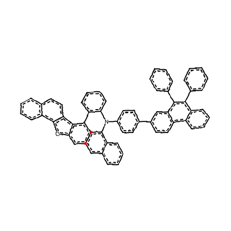 c1ccc(-c2c(-c3ccccc3)c3cc(-c4ccc(N(c5ccccc5-c5cccc6oc7c8ccccc8ccc7c56)c5cccc6ccccc56)cc4)ccc3c3ccccc23)cc1